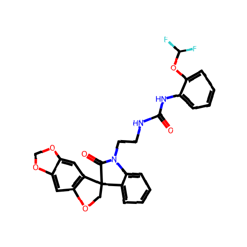 O=C(NCCN1C(=O)C2(COc3cc4c(cc32)OCO4)c2ccccc21)Nc1ccccc1OC(F)F